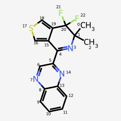 CC1(C)N=C(c2cnc3ccccc3n2)c2cscc2C1(F)F